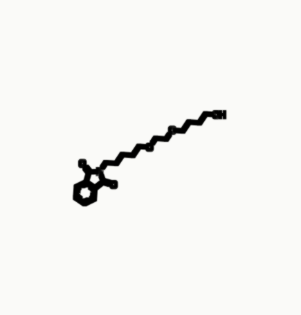 O=C1c2ccccc2C(=O)N1CCCCCOCCOCCCCO